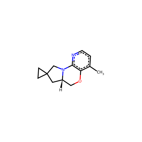 Cc1ccnc2c1OC[C@@H]1CC3(CC3)CN21